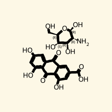 N[C@@H]1[C@@H](O)[C@H](O)[C@@H](CO)O[C@H]1O.O=C(O)c1cc(O)c2c(c1)C(=O)c1cc(O)cc(O)c1C2=O